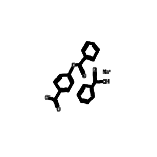 O=C(O)c1ccccc1.O=C([O-])c1ccc(OC(=O)c2ccccc2)cc1.[Na+]